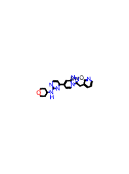 COc1ncccc1Cc1nnc2cc(-c3ccnc(NC4CCOCC4)n3)ccn12